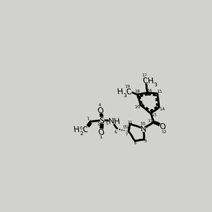 C=CS(=O)(=O)NC[C@H]1CCN(C(=O)c2ccc(C)c(C)c2)C1